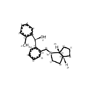 Cc1ccccc1[C@@H](O)c1ccccc1CN1CC[C@H]2CCC[C@H]21